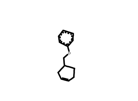 C1=CCC(COc2ccccc2)CC1